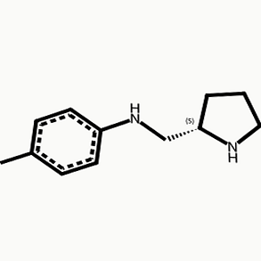 Brc1ccc(NC[C@@H]2CCCN2)cc1